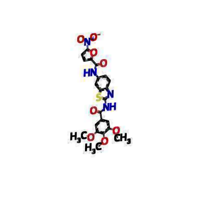 COc1cc(C(=O)Nc2nc3ccc(NC(=O)c4ccc([N+](=O)[O-])o4)cc3s2)cc(OC)c1OC